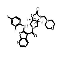 O=C(c1c(Nc2ccc(I)cc2F)sc2ncccc12)N1C[C@H]2OC(=O)N(CN3CCOCC3)[C@H]2C1